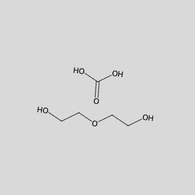 O=C(O)O.OCCOCCO